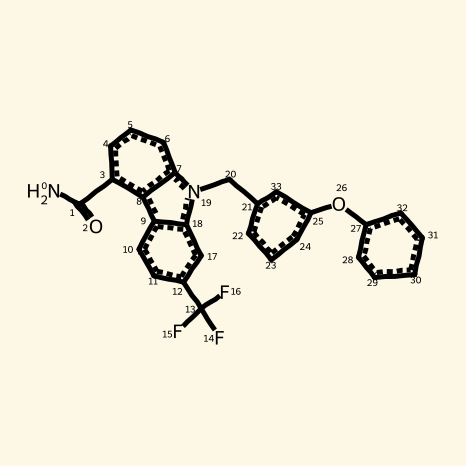 NC(=O)c1cccc2c1c1[c]cc(C(F)(F)F)cc1n2Cc1cccc(Oc2ccccc2)c1